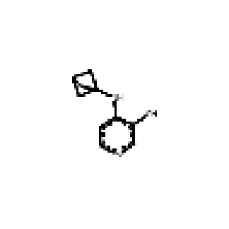 N#Cc1cnccc1NC12CC(C1)C2